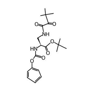 CC(C)(C)OC(=O)[C@H](CNC(=O)C(=O)C(C)(C)C)NC(=O)Oc1ccccc1